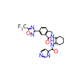 O=C(N[C@@H]1CCCC[C@H]1N1Cc2ccc(-c3noc(C(F)(F)F)n3)cc2C1=O)c1ccncn1